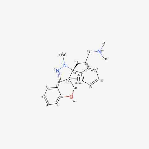 CC(=O)N1N=C2c3ccccc3OC[C@@H]2[C@@]1(CCCN(C)C)c1ccccc1